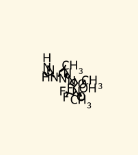 CO[C@H]1CN(c2nc(C)cc(Nc3cc[nH]n3)n2)C[C@H]1N(C(=O)O)[C@@H](C)C(F)(F)F